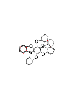 c1ccc([Si]23c4ccccc4Oc4c5c6c(c(c42)Oc2ccccc23)Oc2ccccc2[Si]6(c2ccccc2)c2ccccc2O5)cc1